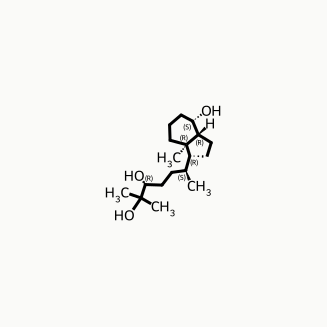 C[C@@H](CC[C@@H](O)C(C)(C)O)[C@H]1CC[C@H]2[C@@H](O)CCC[C@]12C